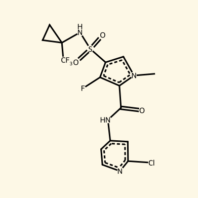 Cn1cc(S(=O)(=O)NC2(C(F)(F)F)CC2)c(F)c1C(=O)Nc1ccnc(Cl)c1